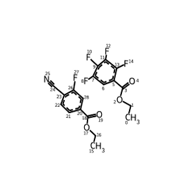 CCOC(=O)c1cc(F)c(F)c(F)c1F.CCOC(=O)c1ccc(C#N)c(F)c1